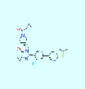 CC1=CC2CC(c3ccc(C4=NC5(CC5)C(=O)N4C[C@@H]4CCN(C(=O)C5CC5)C4)c(F)c3)=CCC2S1